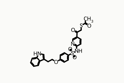 CC(=O)SCC(=O)c1ccc(NS(=O)(=O)c2ccc(OCCc3c[nH]c4ccccc34)cc2)nc1